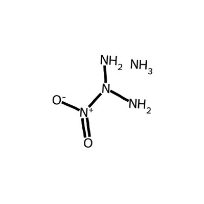 N.NN(N)[N+](=O)[O-]